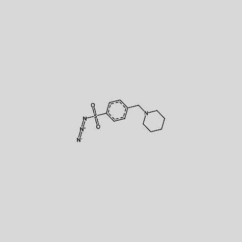 [N-]=[N+]=NS(=O)(=O)c1ccc(CN2CCCCC2)cc1